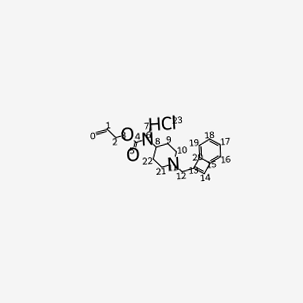 C=CCOC(=O)N(C)C1CCN(CC2=Cc3ccccc32)CC1.Cl